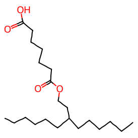 CCCCCCC(CCCCCC)CCOC(=O)CCCCCC(=O)O